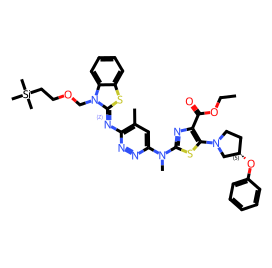 CCOC(=O)c1nc(N(C)c2cc(C)c(/N=c3\sc4ccccc4n3COCC[Si](C)(C)C)nn2)sc1N1CC[C@H](Oc2ccccc2)C1